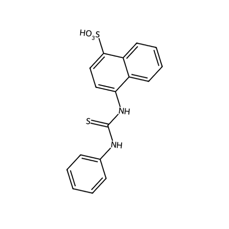 O=S(=O)(O)c1ccc(NC(=S)Nc2ccccc2)c2ccccc12